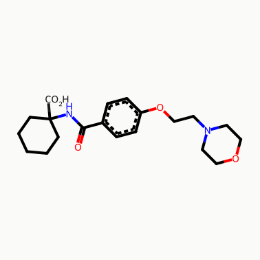 O=C(NC1(C(=O)O)CCCCC1)c1ccc(OCCN2CCOCC2)cc1